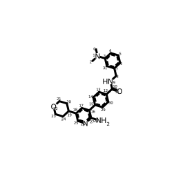 CN(C)c1cccc(CNC(=O)c2ccc(-c3cc(C4CCOCC4)cnc3N)cc2)c1